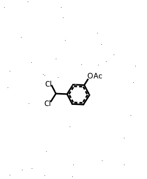 CC(=O)Oc1cccc(C(Cl)Cl)c1